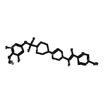 CCCc1cnc(/C(F)=C(\F)C2CC=C(C3CCC(C(F)(F)Oc4cc(F)c(OC(F)(F)F)c(F)c4)CC3)CC2)nc1